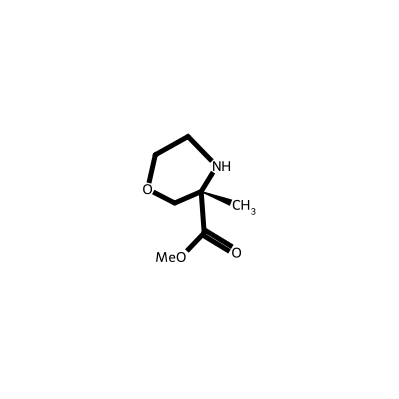 COC(=O)[C@]1(C)COCCN1